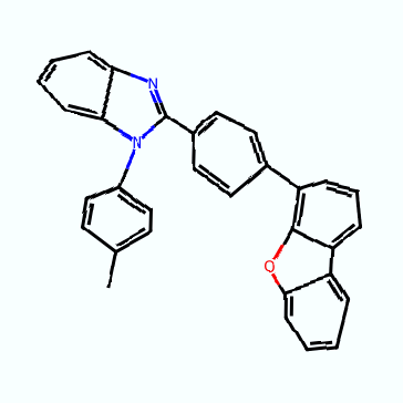 Cc1ccc(-n2c(-c3ccc(-c4cccc5c4oc4ccccc45)cc3)nc3ccccc32)cc1